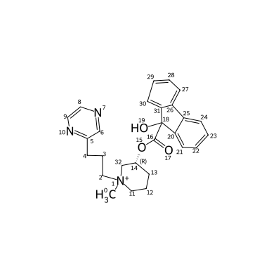 C[N+]1(CCCc2cnccn2)CCC[C@@H](OC(=O)C2(O)c3ccccc3-c3ccccc32)C1